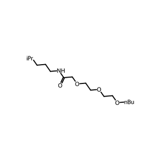 CCCCOCCOCCOCC(=O)NCCCC(C)C